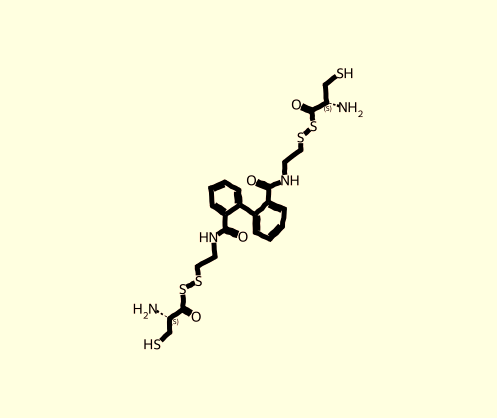 N[C@@H](CS)C(=O)SSCCNC(=O)c1ccccc1-c1ccccc1C(=O)NCCSSC(=O)[C@@H](N)CS